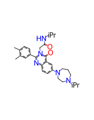 Cc1ccc(-c2nc3ccc(N4CCCN(C(C)C)CC4)cc3c(=O)n2CC(=O)NC(C)C)cc1C